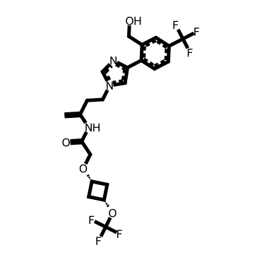 C=C(CCn1cnc(-c2ccc(C(F)(F)F)cc2CO)c1)NC(=O)CO[C@H]1C[C@@H](OC(F)(F)F)C1